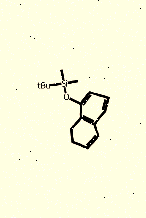 CC(C)(C)[Si](C)(C)Oc1cccc2c1CCC=C2